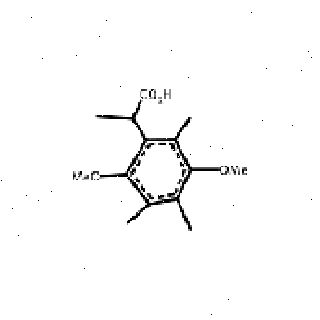 COc1c(C)c(C)c(OC)c(C(C)C(=O)O)c1C